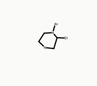 CCC1C[N]CCN1C(C)=O